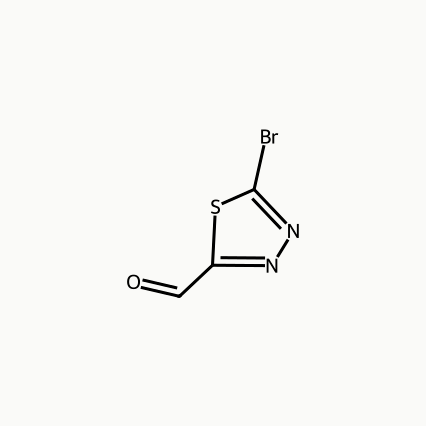 O=Cc1nnc(Br)s1